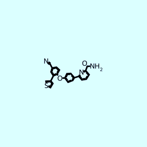 N#Cc1ccc(Oc2ccc(-c3cccc(C(N)=O)n3)cc2)c(-c2ccsc2)c1